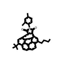 CCCCc1cc2c3c(=O)n(-c4ccc(C)cc4C)c(=O)c3c3cc(C(C)(C)C)c4ccc5ccc1c1c5c4c3c21